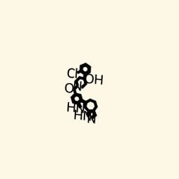 O=C(c1ccc2[nH]c3c(c2c1)CCCc1cn[nH]c1-3)N1CCC(O)(c2ccccc2Cl)CC1